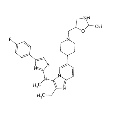 CCc1nc2ccc(C3CCN(CC4CNC(O)O4)CC3)cn2c1N(C)c1nc(-c2ccc(F)cc2)cs1